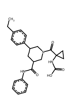 CCc1ccc(C2CC(C(=O)Nc3ccccc3)CN(C(=O)C3(NC(=O)O)CC3)C2)cc1